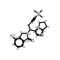 C[Si](C)(C)C#CCC(c1cnc2n1CCC2)N1Cc2c(F)cccc2C1=O